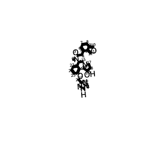 CN(C(=O)Cc1cccc2cocc12)C(CN1CCC(O)C1)c1cccc(OCc2nn[nH]n2)c1